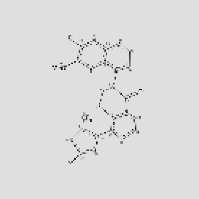 COc1cc2c(N3CCc4c(cccc4-c4cn(C)nc4C(F)(F)F)C3=O)cccc2nc1C